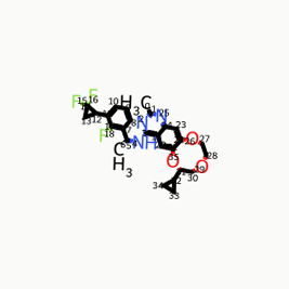 Cc1nc(NC(C)c2cccc(C3CC3(F)F)c2F)c2cc3c(cc2n1)OCCOCC(C1CC1)O3